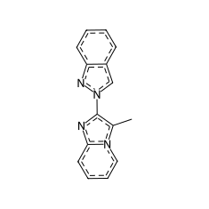 Cc1c(-n2cc3ccccc3n2)nc2ccccn12